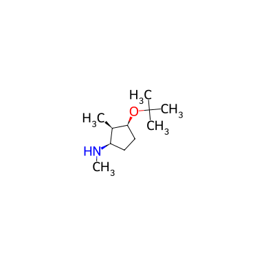 CN[C@@H]1CC[C@H](OC(C)(C)C)[C@@H]1C